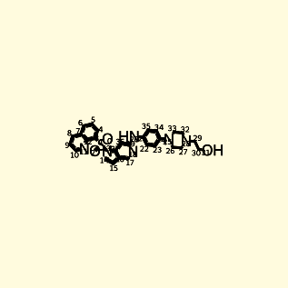 O=S(=O)(c1cccc2cccnc12)n1ccc2cnc(Nc3ccc(N4CCN(CCO)CC4)cc3)cc21